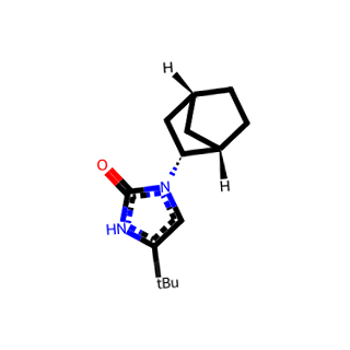 CC(C)(C)c1cn([C@@H]2C[C@@H]3CC[C@H]2C3)c(=O)[nH]1